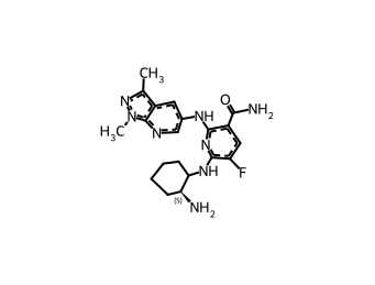 Cc1nn(C)c2ncc(Nc3nc(NC4CCCC[C@@H]4N)c(F)cc3C(N)=O)cc12